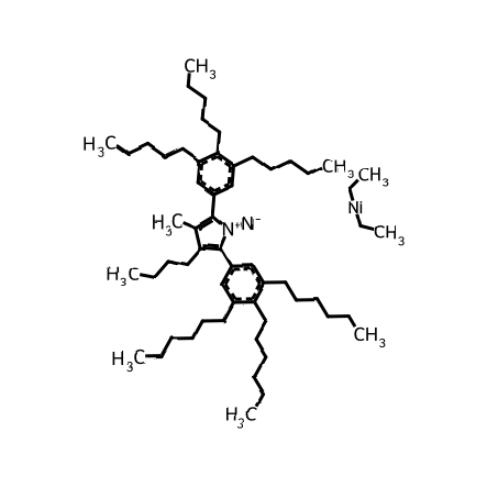 CCCCCCc1cc(C2=C(CCCC)C(C)=C(c3cc(CCCCC)c(CCCCC)c(CCCCC)c3)[N+]2=[N-])cc(CCCCCC)c1CCCCCC.C[CH2][Ni][CH2]C